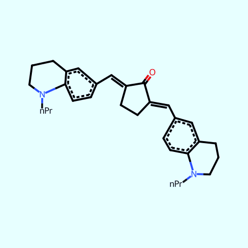 CCCN1CCCc2cc(/C=C3\CC/C(=C\c4ccc5c(c4)CCCN5CCC)C3=O)ccc21